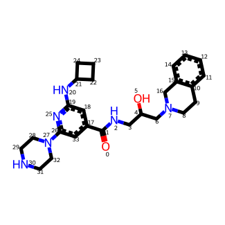 O=C(NCC(O)CN1CCc2ccccc2C1)c1cc(NC2CCC2)nc(N2CCNCC2)c1